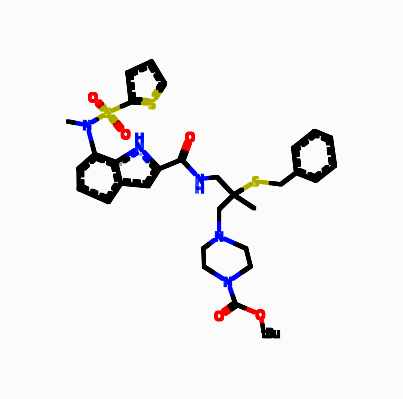 CN(c1cccc2cc(C(=O)NCC(C)(CN3CCN(C(=O)OC(C)(C)C)CC3)SCc3ccccc3)[nH]c12)S(=O)(=O)c1cccs1